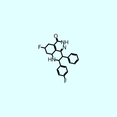 O=c1[nH]nc2c3c1CC(F)CC3NC(c1ccc(F)cc1)C2c1ccccc1